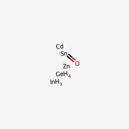 [Cd].[GeH4].[InH3].[O]=[Sn].[Zn]